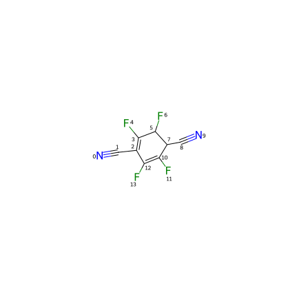 N#CC1=C(F)C(F)C(C#N)C(F)=C1F